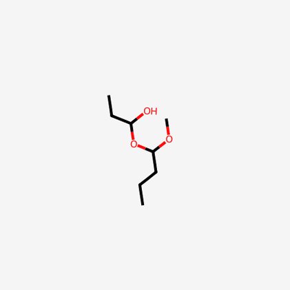 CCCC(OC)OC(O)CC